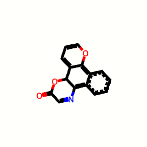 O=C1C=NC2=c3ccccc3=C3OC=CC=C3C2O1